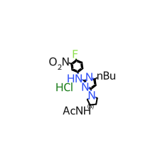 CCCCc1cc(N2CC[C@H](NC(C)=O)C2)nc(Nc2ccc(F)c([N+](=O)[O-])c2)n1.Cl